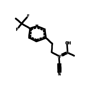 CS(O)=[N+](C#N)CCc1ccc(C(C)(F)F)nc1